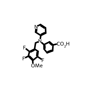 COc1c(F)cc(CN(c2cccnc2)c2cccc(C(=O)O)c2)c(F)c1F